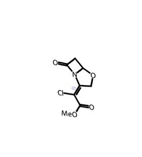 COC(=O)/C(Cl)=C1\COC2CC(=O)N12